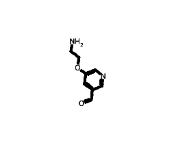 NCCOc1cncc(C=O)c1